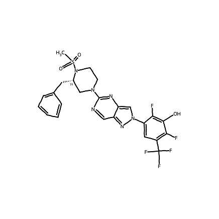 CS(=O)(=O)N1CCN(c2ncc3nn(-c4cc(C(F)(F)F)c(F)c(O)c4F)cc3n2)C[C@@H]1Cc1ccccc1